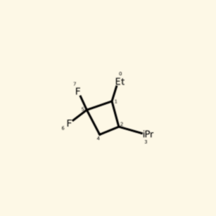 CCC1C(C(C)C)CC1(F)F